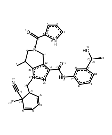 CC1CN(C(=O)c2ccc[nH]2)Cc2c(C(=O)Nc3cccc([C@H](C)O)c3)nn(CC3C=CC=CC3(F)C#N)c21